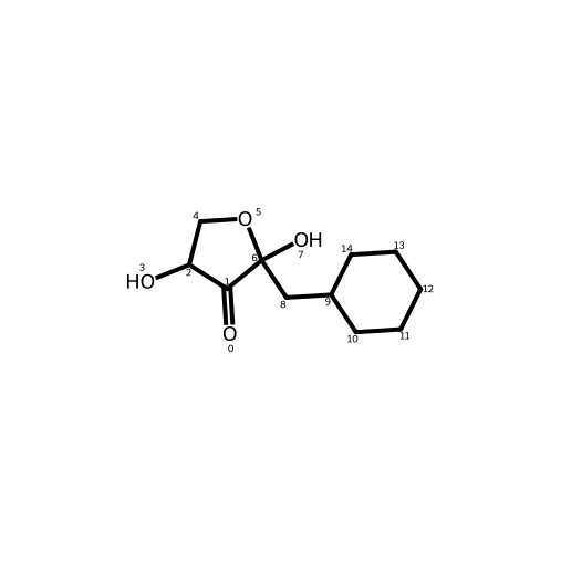 O=C1C(O)COC1(O)CC1CCCCC1